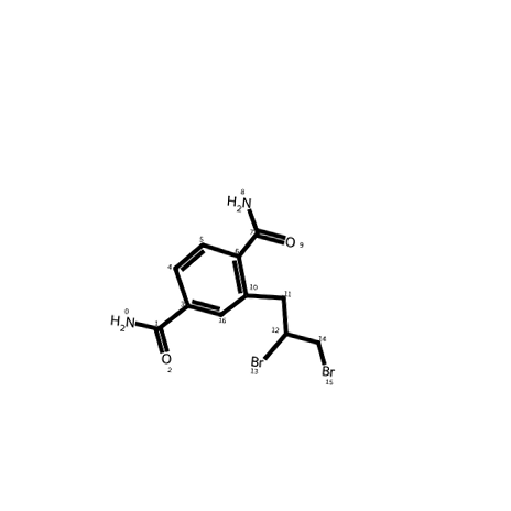 NC(=O)c1ccc(C(N)=O)c(CC(Br)CBr)c1